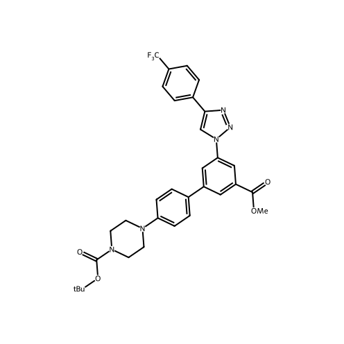 COC(=O)c1cc(-c2ccc(N3CCN(C(=O)OC(C)(C)C)CC3)cc2)cc(-n2cc(-c3ccc(C(F)(F)F)cc3)nn2)c1